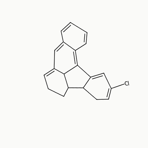 ClC1=CCC2C(=C1)C1=c3ccccc3=CC3=CCCC2C31